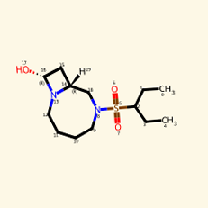 CCC(CC)S(=O)(=O)N1CCCCN2[C@H](C[C@H]2O)C1